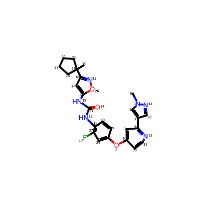 Cn1cc(-c2cc(Oc3ccc(NC(=O)Nc4cc(C5(C)CCCC5)no4)c(F)c3)ccn2)cn1